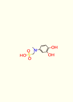 CN(CS(=O)(=O)O)c1ccc(O)c(O)c1